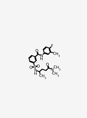 Cc1cc(NC(=O)c2cccc(S(=O)(=O)NC(C)CCC(=O)N(C)C)c2)ccc1F